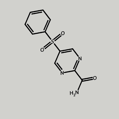 NC(=O)c1ncc(S(=O)(=O)c2ccccc2)cn1